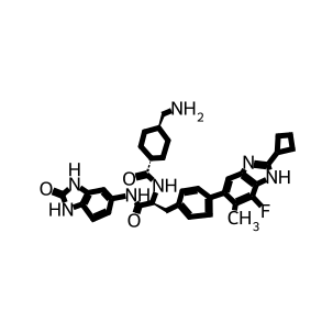 Cc1c(-c2ccc(C[C@H](NC(=O)[C@H]3CC[C@H](CN)CC3)C(=O)Nc3ccc4[nH]c(=O)[nH]c4c3)cc2)cc2nc(C3CCC3)[nH]c2c1F